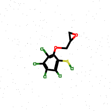 ClSc1c(Cl)c(Cl)c(Cl)c(Cl)c1OCC1CO1